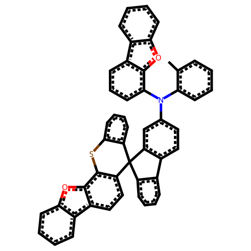 Cc1ccccc1N(c1ccc2c(c1)C1(c3ccccc3Sc3c1ccc1c3oc3ccccc31)c1ccccc1-2)c1cccc2c1oc1ccccc12